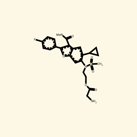 CNC(=O)c1c(-c2ccc(F)cc2)oc2cc(N(CCOC(=O)CN)S(C)(=O)=O)c(C3CC3)cc12